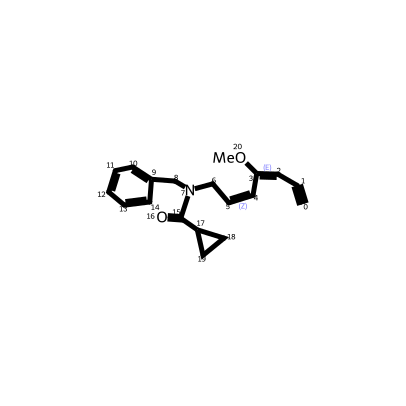 C#C/C=C(\C=C/CN(Cc1ccccc1)C(=O)C1CC1)OC